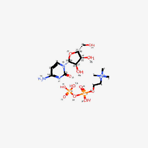 C[N+](C)(C)CCOP(=O)(O)OP(=O)(O)O.Nc1ccn([C@@H]2O[C@H](CO)[C@@H](O)[C@H]2O)c(=O)n1